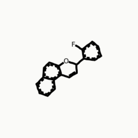 Fc1ccccc1C1C=Cc2c(ccc3ccccc23)O1